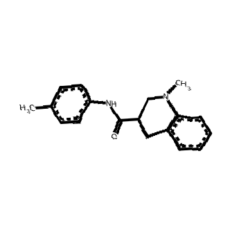 Cc1ccc(NC(=O)C2Cc3ccccc3N(C)C2)cc1